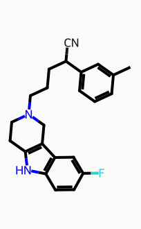 Cc1cccc(C(C#N)CCCN2CCc3[nH]c4ccc(F)cc4c3C2)c1